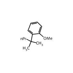 CCCC(C)(C)c1ccccc1OC